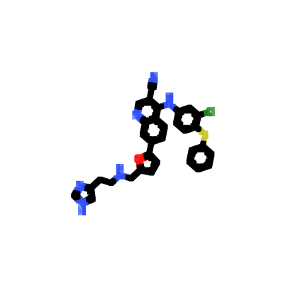 N#Cc1cnc2cc(-c3ccc(CNCCc4c[nH]cn4)o3)ccc2c1Nc1ccc(Sc2ccccc2)c(Cl)c1